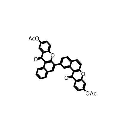 CC(=O)Oc1ccc2c(=O)c3c(ccc4ccc(-c5cc6ccccc6c6c(=O)c7cc(OC(C)=O)ccc7oc56)cc43)oc2c1